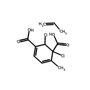 C=CC.CC1=CC=C(C(=O)O)C(Cl)C1(Cl)C(=O)O